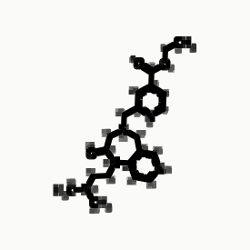 CCOC(=O)c1ccnc(CN2CC(=O)N(CCN(C)C)c3ccncc3C2)c1